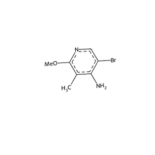 COc1ncc(Br)c(N)c1C